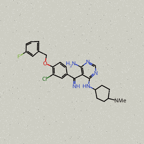 CNC1CCC(Nc2ncnc(N)c2C(=N)c2ccc(OCc3cccc(F)c3)c(Cl)c2)CC1